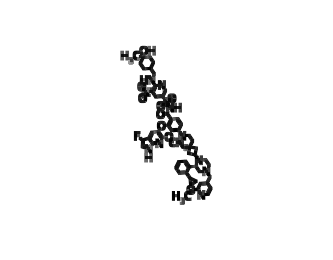 COc1cc(CN2CCN(C3CC4(CCN(c5ccc(C(=O)NS(=O)(=O)c6cnc(NCC7CCC(C)(O)CC7)c([N+](=O)[O-])c6)c(Oc6cc7c(F)c[nH]c7nc6OC)c5)CC4)C3)[C@H](c3ccccc3C3CC3)C2)ccn1